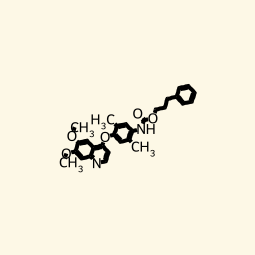 COc1cc2nccc(Oc3cc(C)c(NC(=O)OCCCc4ccccc4)cc3C)c2cc1OC